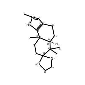 C[n+]1cc2c([nH]1)[C@@]1(C)CCC3(OCCO3)C(C)(C)[C@@H]1CC2